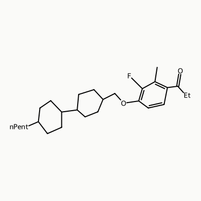 CCCCCC1CCC(C2CCC(COc3ccc(C(=O)CC)c(C)c3F)CC2)CC1